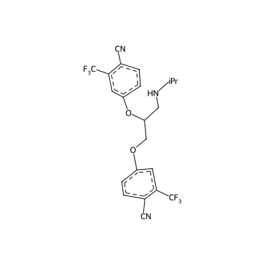 CC(C)NCC(COc1ccc(C#N)c(C(F)(F)F)c1)Oc1ccc(C#N)c(C(F)(F)F)c1